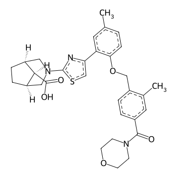 Cc1ccc(OCc2ccc(C(=O)N3CCOCC3)cc2C)c(-c2csc(N3C[C@H]4CC[C@@H](C3)[C@H]4C(=O)O)n2)c1